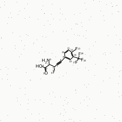 N[C@H](C(=O)O)[C@H](F)C#Cc1ccc(F)c(C(F)(F)F)c1